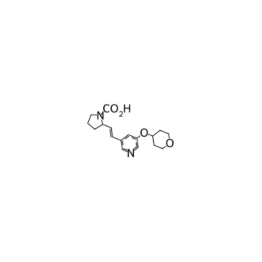 O=C(O)N1CCCC1C=Cc1cncc(OC2CCOCC2)c1